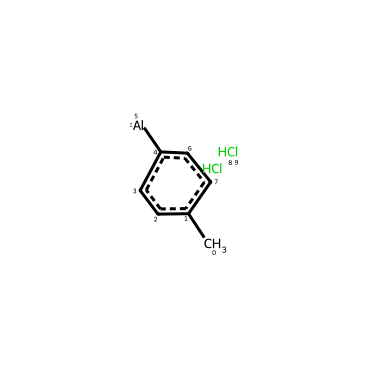 Cc1cc[c]([Al])cc1.Cl.Cl